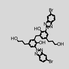 OCCCc1cc(Cc2cc(CCCO)cc(-n3nc4ccc(Br)cc4n3)c2O)c(O)c(-n2nc3ccc(Br)cc3n2)c1